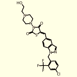 O=C1S/C(=C\c2ccc3c(cnn3Cc3ccc(Cl)cc3C(F)(F)F)c2)C(=O)N1N1CCN(CCO)CC1